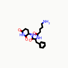 NCCCCC(=O)NC(Cc1ccccc1)C(=O)NC1CCC(=O)NC1=O